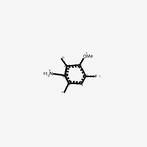 COc1c(F)cc(C)c(N)c1C